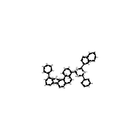 c1ccc(-c2nc(-c3ccc4ccccc4c3)nc(-c3cccc4c3ccc3ccc5c6cccc(-c7ccccc7)c6sc5c34)n2)cc1